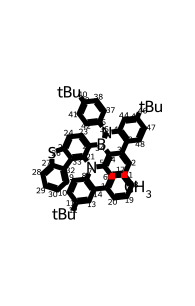 Cc1cc2c3c(c1)N(c1ccc(C(C)(C)C)cc1-c1ccccc1)c1c(ccc4sc5ccccc5c14)B3N(c1ccc(C(C)(C)C)cc1)c1cc(C(C)(C)C)ccc1-2